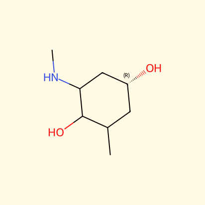 CNC1C[C@H](O)CC(C)C1O